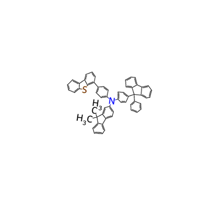 CC1(C)c2ccccc2-c2ccc(N(c3ccc(-c4cccc5c4sc4ccccc45)cc3)c3ccc(C4(c5ccccc5)c5ccccc5-c5ccccc54)cc3)cc21